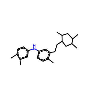 Cc1ccc(Nc2ccc(C)c(CCC3CC(C)C(C)CC3C)c2)cc1C